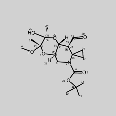 CO[C@@]1(C)O[C@@H]2CN(C(=O)OC(C)(C)C)C3(CC3)[C@H](C=O)[C@H]2O[C@]1(C)O